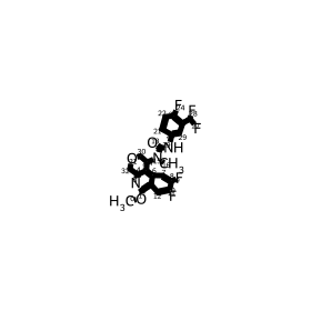 COc1nc2c(c3cc(F)c(F)cc13)C(N(C)C(=O)Nc1ccc(F)c(C(F)F)c1)COC2